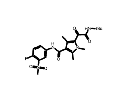 Cc1c(C(=O)Nc2ccc(F)c(S(C)(=O)=O)c2)c(C)n(C)c1C(=O)C(=O)NC(C)(C)C